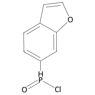 O=[PH](Cl)c1ccc2ccoc2c1